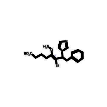 CC/C(=C(\CCCC(=O)O)ON)C(Cc1ccccc1)n1ccnc1